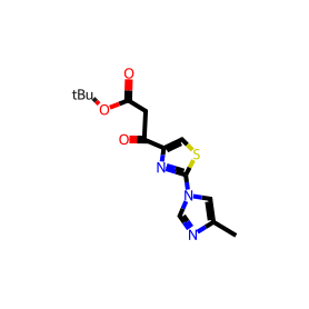 Cc1cn(-c2nc(C(=O)CC(=O)OC(C)(C)C)cs2)cn1